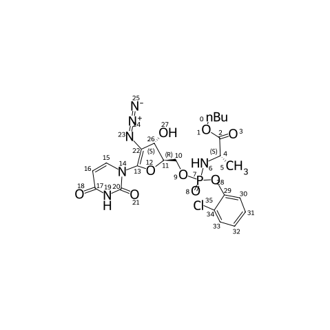 CCCCOC(=O)[C@H](C)NP(=O)(OC[C@H]1OC(n2ccc(=O)[nH]c2=O)=C(N=[N+]=[N-])[C@@H]1O)Oc1ccccc1Cl